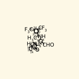 CC(NC1CC(C=O)N(CC(N)C(=O)N2CCCC2C#N)C1)c1cc(C(F)(F)F)cc(C(F)(F)F)c1